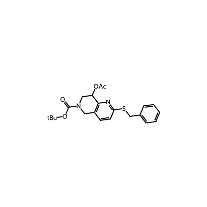 CC(=O)OC1CN(C(=O)OC(C)(C)C)Cc2ccc(SCc3ccccc3)nc21